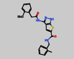 COc1ccccc1CC(=O)Nc1n[nH]c2sc(C(=O)NCc3ccccc3C)cc12